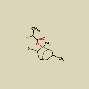 CCC1CC2CC(C)CC(C2)C1(C)OC(=O)C(C)S